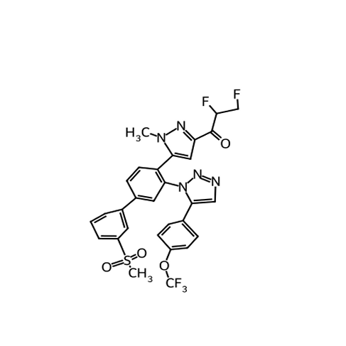 Cn1nc(C(=O)C(F)CF)cc1-c1ccc(-c2cccc(S(C)(=O)=O)c2)cc1-n1nncc1-c1ccc(OC(F)(F)F)cc1